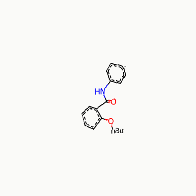 CCCCOc1ccccc1C(=O)Nc1cc[c]cc1